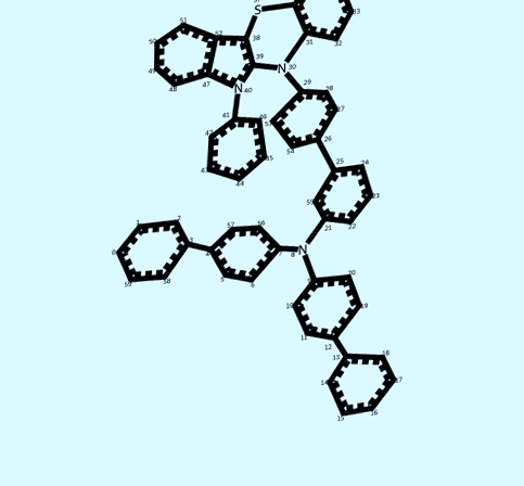 c1ccc(-c2ccc(N(c3ccc(-c4ccccc4)cc3)c3cccc(-c4ccc(N5c6ccccc6Sc6c5n(-c5ccccc5)c5ccccc65)cc4)c3)cc2)cc1